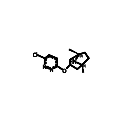 C[C@]12CC[C@](C)(CC(Oc3ccc(Cl)nn3)C1)N2